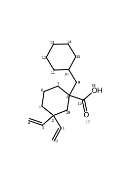 C=CC1(C=C)CCCC(CC2CCCCC2)(C(=O)O)C1